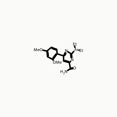 CC[As](CC)c1nc(C(N)=O)cc(-c2ccc(OC)cc2OC)n1